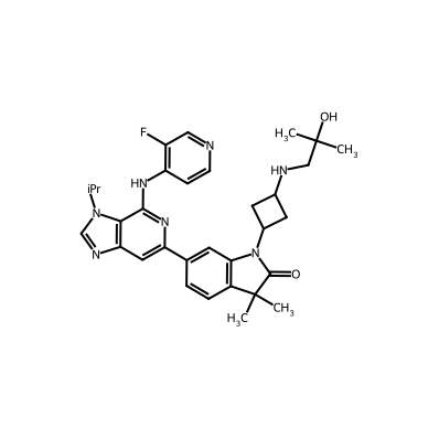 CC(C)n1cnc2cc(-c3ccc4c(c3)N(C3CC(NCC(C)(C)O)C3)C(=O)C4(C)C)nc(Nc3ccncc3F)c21